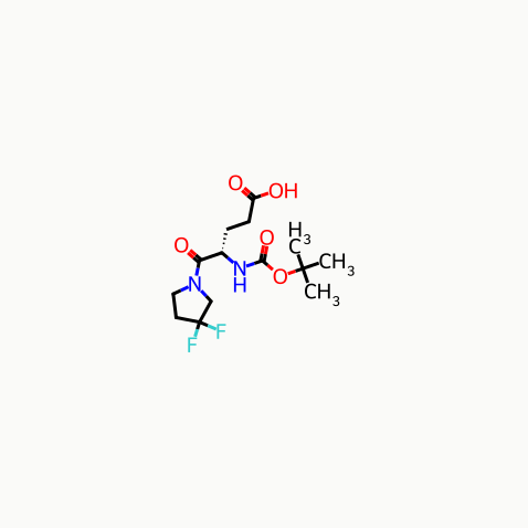 CC(C)(C)OC(=O)N[C@@H](CCC(=O)O)C(=O)N1CCC(F)(F)C1